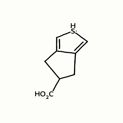 O=C(O)C1CC2=C[SH]C=C2C1